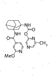 COc1cc(C(=O)NC23CC4CC(CC(NC(=O)Oc5cncc(C)n5)(C4)C2)C3)ccn1